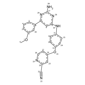 COc1cccc(-c2cc(Nc3ccc(Oc4ccnc(C#N)c4)cc3)nc(N)n2)c1